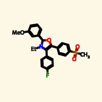 CCN1C(c2ccc(F)cc2)=C(c2ccc(S(C)(=O)=O)cc2)OC1c1cccc(OC)c1